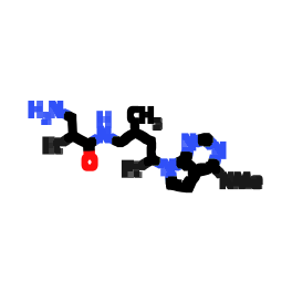 CCC(CN)C(=O)NCC(C)CC(CC)n1ccc2c(NC)ncnc21